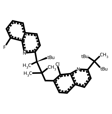 CC(C)(C)C(C)(c1ccc2ccc(CC(C)(C)[C@](C)(c3ccc4cccc(F)c4n3)C(C)(C)C)c(Cl)c2n1)C(C)(C)C